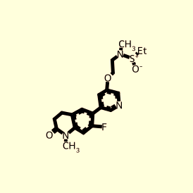 CC[S+]([O-])N(C)CCOc1cncc(-c2cc3c(cc2F)N(C)C(=O)CC3)c1